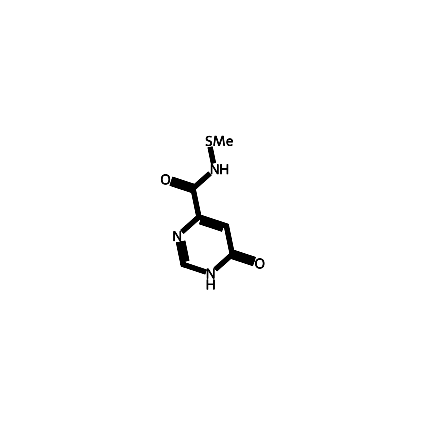 CSNC(=O)c1cc(=O)[nH]cn1